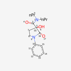 CCCN(CCC)C(=O)[C@@]1(O)CCN(c2ccccc2)C1=O